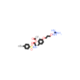 CCCCc1ccc(S(=O)(=O)N[C@@H](Cc2ccc(OCCCONC(=N)N)cc2)C(=O)OC(=O)C(F)(F)F)cc1